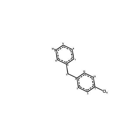 Clc1ccc([CH]c2cccnc2)cc1